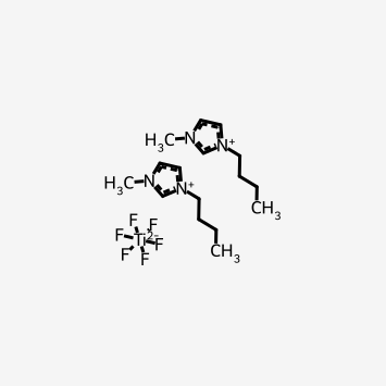 CCCC[n+]1ccn(C)c1.CCCC[n+]1ccn(C)c1.[F][Ti-2]([F])([F])([F])([F])[F]